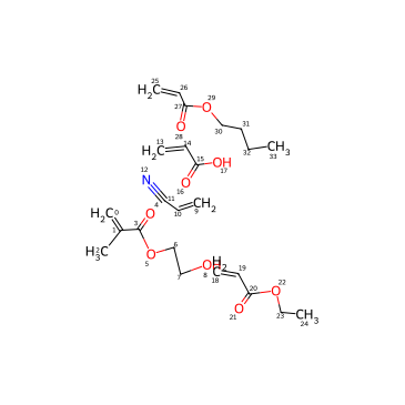 C=C(C)C(=O)OCCO.C=CC#N.C=CC(=O)O.C=CC(=O)OCC.C=CC(=O)OCCCC